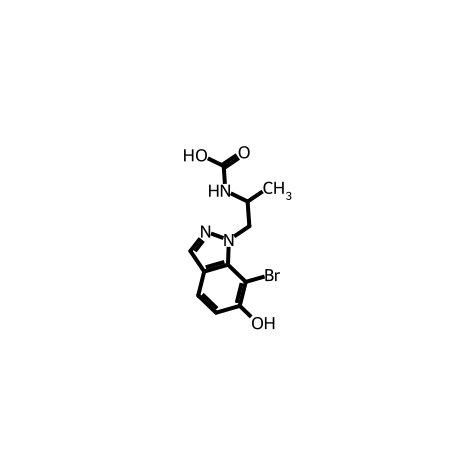 CC(Cn1ncc2ccc(O)c(Br)c21)NC(=O)O